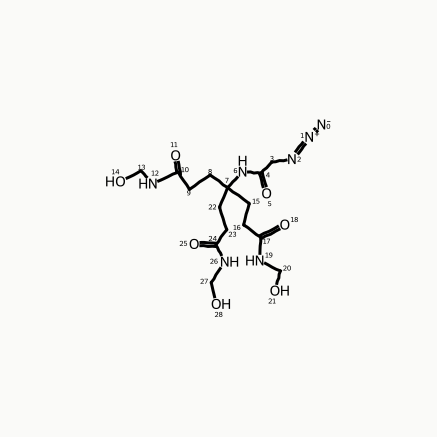 [N-]=[N+]=NCC(=O)NC(CCC(=O)NCO)(CCC(=O)NCO)CCC(=O)NCO